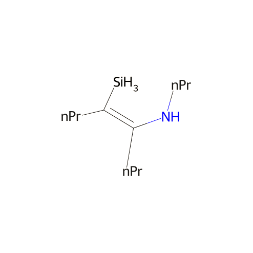 CCCNC(CCC)=C([SiH3])CCC